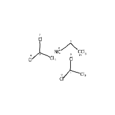 ClC(Cl)Cl.ClC(Cl)Cl.N#CCC(Cl)(Cl)Cl